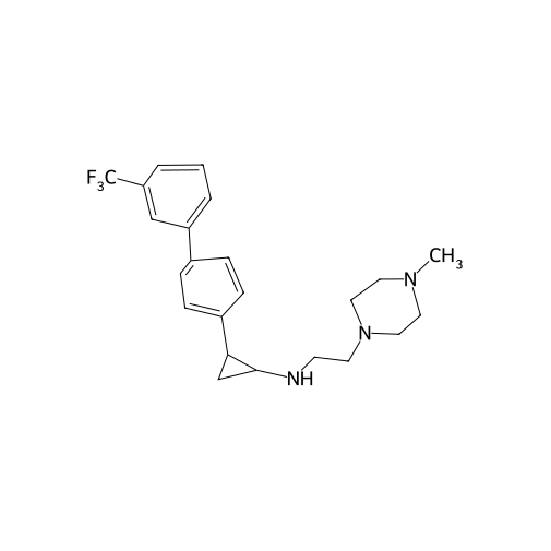 CN1CCN(CCNC2CC2c2ccc(-c3cccc(C(F)(F)F)c3)cc2)CC1